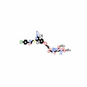 C[C@H](NC(=O)[C@H](CCNC(=O)OC(C)(C)C)NC(=O)OC(C)(C)C)C(=O)OC[CH]COc1ccc(-c2c(C#N)c(N)nc(SCc3coc(-c4ccc(Cl)cc4)n3)c2C#N)cc1